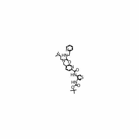 CN(C)CCN(Cc1ccc(C(=O)Nc2cscc2NC(=O)OC(C)(C)C)nc1)C(=O)NCc1ccccn1